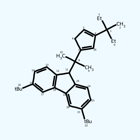 CCC(C)(CC)C1=CCC(C(C)(C)C2c3ccc(C(C)(C)C)cc3-c3cc(C(C)(C)C)ccc32)=C1